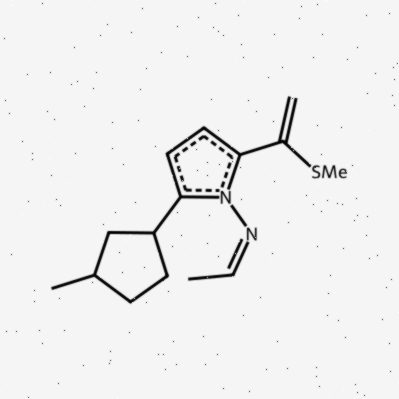 C=C(SC)c1ccc(C2CCC(C)C2)n1/N=C\C